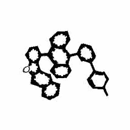 CC1C=CC(c2cccc(-c3c4ccccc4c(-c4cccc5oc6cc7ccccc7cc6c45)c4ccccc34)c2)=CC1